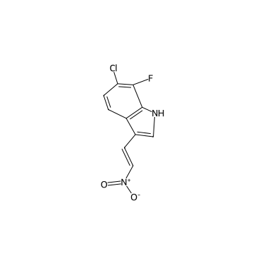 O=[N+]([O-])C=Cc1c[nH]c2c(F)c(Cl)ccc12